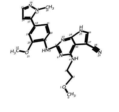 COCCNc1nc(Nc2ccc(-c3ccnn3C)cc2OC)nc2[nH]cc(C#N)c12